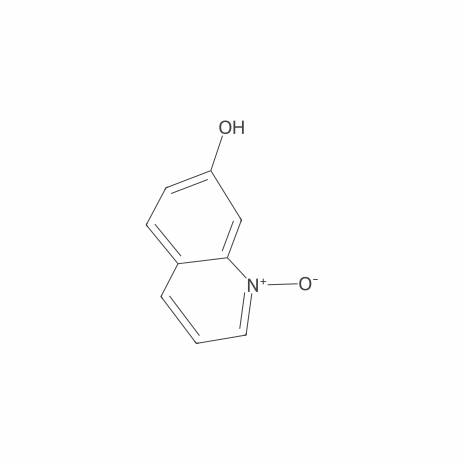 [O-][n+]1cccc2ccc(O)cc21